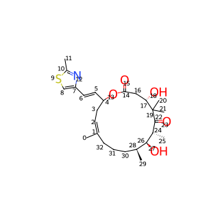 C/C1=C/CC(/C=C/c2csc(C)n2)OC(=O)C[C@H](O)C(C)(C)C(=O)[C@H](C)[C@@H](O)[C@@H](C)CCC1